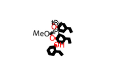 C=Cc1ccc(OC(C)(C)C)cc1.C=Cc1ccc(OC(OC)C(C)C)cc1.C=Cc1ccccc1O